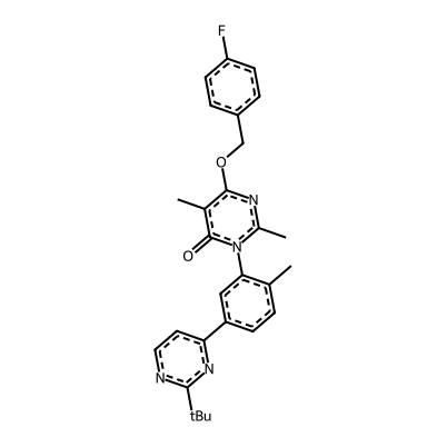 Cc1ccc(-c2ccnc(C(C)(C)C)n2)cc1-n1c(C)nc(OCc2ccc(F)cc2)c(C)c1=O